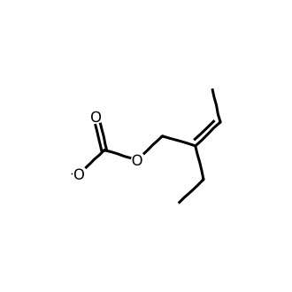 CC=C(CC)COC([O])=O